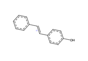 Oc1[c]cc(/C=C/c2ccccc2)cc1